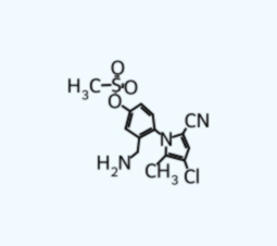 Cc1c(Cl)cc(C#N)n1-c1ccc(OS(C)(=O)=O)cc1CN